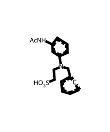 CC(=O)Nc1cccc(N(CCS(=O)(=O)O)Cc2ccccc2)c1